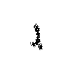 CC(=O)Nc1cn(C(=O)OC(C)(C)C)c2ccc(CO[C@H]3C[C@@H](c4ccc(C(F)(F)F)cc4)C3)cc12